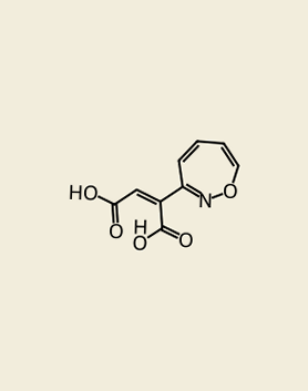 O=C(O)C=C(C(=O)O)C1=NOC=CC=C1